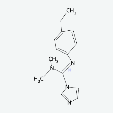 CCc1ccc(/N=C(\N(C)C)n2ccnc2)cc1